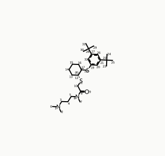 CN(C)CCCN(C)C(=O)CS[C@@H]1CCCC[C@H]1Sc1cc(C(C)(C)C)cc(C(C)(C)C)c1